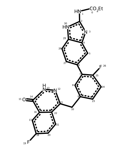 CCOC(=O)Nc1nc2cc(-c3cc(Cc4n[nH]c(=O)c5cc(F)ccc45)ccc3F)ccc2[nH]1